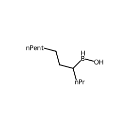 CCCCCCCC(BO)CCC